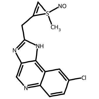 CS1(N=O)C=C1Cc1nc2cnc3ccc(Cl)cc3c2[nH]1